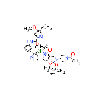 C=Cc1cnc(C(=O)Nc2cccc(-c3nccc(-c4ccc(CN(C(=O)OC(C)(C)C)C5CCN(C(C)=O)CC5)c(OC)n4)c3Cl)c2C)cc1OC